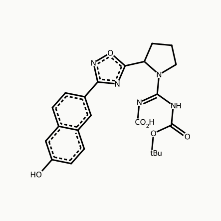 CC(C)(C)OC(=O)NC(=NC(=O)O)N1CCCC1c1nc(-c2ccc3cc(O)ccc3c2)no1